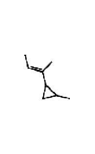 CC=C(C)C1C[C]1C